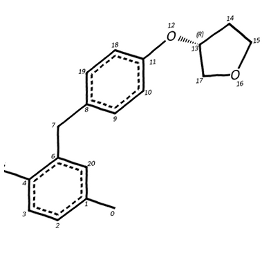 Cc1ccc(C)c(Cc2ccc(O[C@@H]3CCOC3)cc2)c1